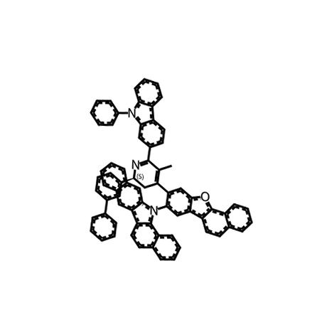 CC1=C(c2cc3oc4c5ccccc5ccc4c3cc2-n2c3cc4ccccc4cc3c3ccc4ccccc4c32)C[C@@H](c2cccc(-c3ccccc3)c2)N=C1c1ccc2c3ccccc3n(-c3ccccc3)c2c1